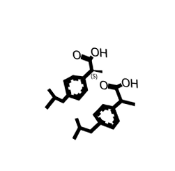 CC(C)Cc1ccc(C(C)C(=O)O)cc1.CC(C)Cc1ccc([C@H](C)C(=O)O)cc1